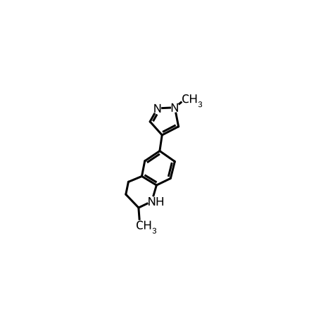 CC1CCc2cc(-c3cnn(C)c3)ccc2N1